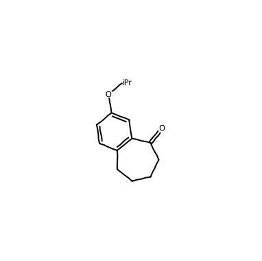 CC(C)Oc1ccc2c(c1)C(=O)CCCC2